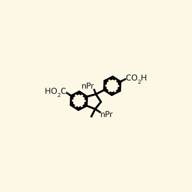 CCCC1(C)CC(CCC)(c2ccc(C(=O)O)cc2)c2cc(C(=O)O)ccc21